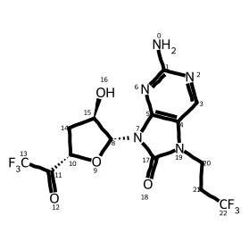 Nc1ncc2c(n1)n([C@@H]1O[C@H](C(=O)C(F)(F)F)C[C@H]1O)c(=O)n2CCC(F)(F)F